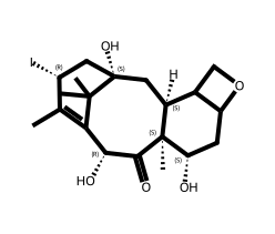 CC1=C2[C@@H](O)C(=O)[C@]3(C)[C@@H](O)CC4OCC4[C@@H]3C[C@](O)(C[C@H]1I)C2(C)C